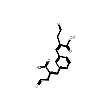 O=CCC(=Cc1cccc(C=C(CC=O)C(=O)O)c1)C(=O)O